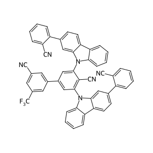 N#Cc1cc(-c2cc(-n3c4ccccc4c4ccc(-c5ccccc5C#N)cc43)c(C#N)c(-n3c4ccccc4c4ccc(-c5ccccc5C#N)cc43)c2)cc(C(F)(F)F)c1